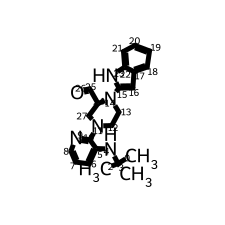 CC(C)(C)Nc1cccnc1N1CCN(c2cc3ccccc3[nH]2)C(C=O)C1